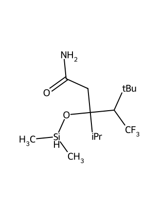 CC(C)C(CC(N)=O)(O[SiH](C)C)C(C(C)(C)C)C(F)(F)F